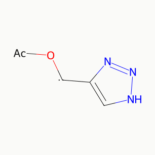 CC(=O)O[CH]c1c[nH]nn1